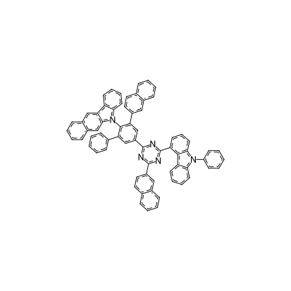 c1ccc(-c2cc(-c3nc(-c4ccc5ccccc5c4)nc(-c4cccc5c4c4ccccc4n5-c4ccccc4)n3)cc(-c3ccc4ccccc4c3)c2-n2c3ccccc3c3cc4ccccc4cc32)cc1